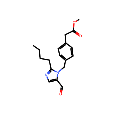 CCCCc1ncc(C=O)n1Cc1ccc(CC(=O)OC)cc1